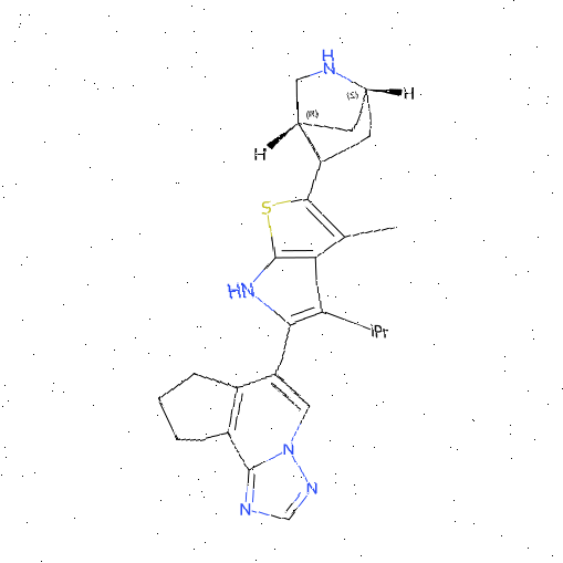 Cc1c(C2C[C@@H]3C[C@H]2CN3)sc2[nH]c(-c3cn4ncnc4c4c3CCC4)c(C(C)C)c12